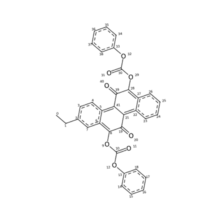 CCc1ccc2c(c1)=C(OC(=O)Oc1ccccc1)C(=O)C1=c3ccccc3=C(OC(=O)Oc3ccccc3)C(=O)C=21